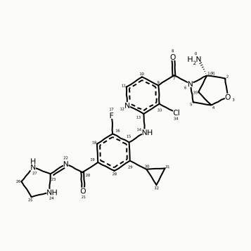 N[C@@]12COC(CN1C(=O)c1ccnc(Nc3c(F)cc(C(=O)N=C4NCCN4)cc3C3CC3)c1Cl)C2